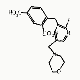 O=C(O)c1ccc(Cc2cc(CN3CCOCC3)cnc2F)c(C(=O)O)c1